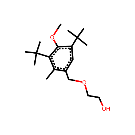 COc1c(C(C)(C)C)cc(COCCO)c(C)c1C(C)(C)C